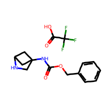 O=C(NC12CNC(C1)C2)OCc1ccccc1.O=C(O)C(F)(F)F